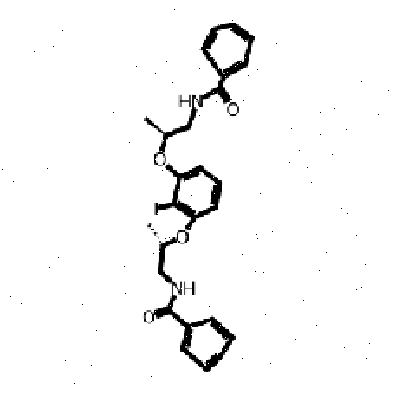 C[C@@H](CNC(=O)c1ccccc1)Oc1cccc(O[C@@H](C)CNC(=O)c2ccccc2)c1I